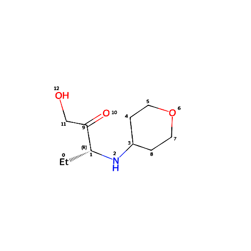 CC[C@@H](NC1CCOCC1)C(=O)CO